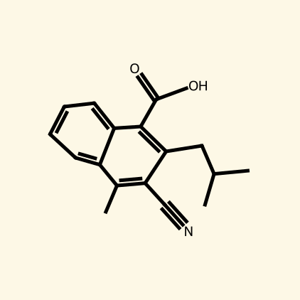 Cc1c(C#N)c(CC(C)C)c(C(=O)O)c2ccccc12